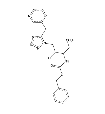 O=C(O)CC(NC(=O)OCc1ccccc1)C(=O)Cn1nnnc1Cc1cccnc1